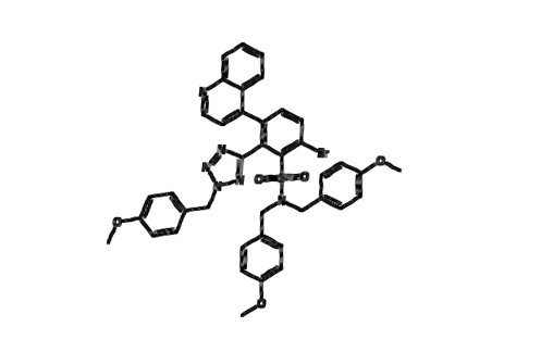 COc1ccc(CN(Cc2ccc(OC)cc2)S(=O)(=O)c2c(Br)ccc(-c3ccnc4ccccc34)c2-c2nnn(Cc3ccc(OC)cc3)n2)cc1